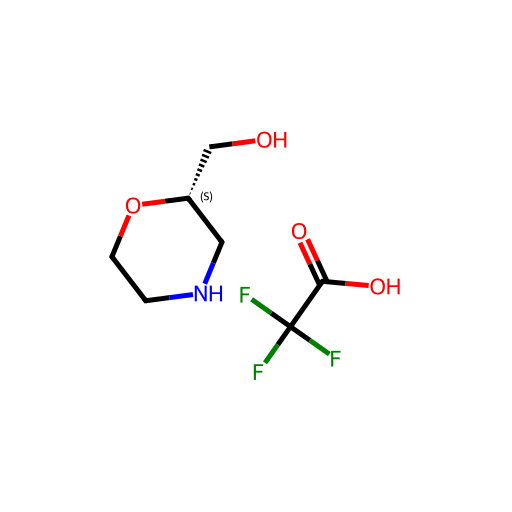 O=C(O)C(F)(F)F.OC[C@@H]1CNCCO1